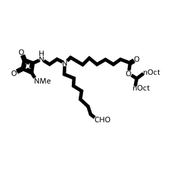 CCCCCCCCC(CCCCCCCC)OC(=O)CCCCCCCN(CCCCCCCC=O)CCNc1c(NC)c(=O)c1=O